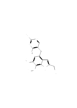 COc1cc(Cc2cnc(N)nc2N)c2cc(CCl)oc2c1OC